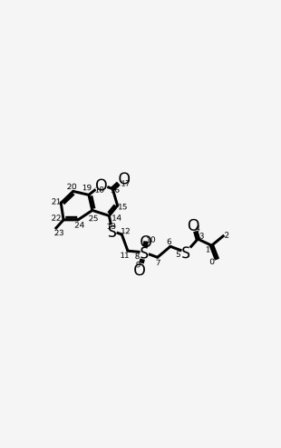 C=C(C)C(=O)SCCS(=O)(=O)CCSc1cc(=O)oc2ccc(C)cc12